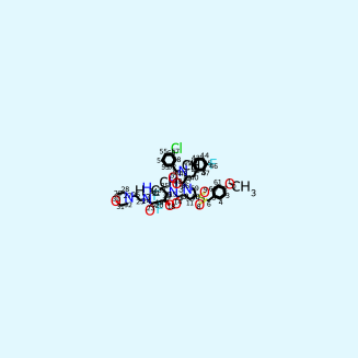 COc1ccc(CS(=O)(=O)[C@@H]2C[C@@H](C(=O)N[C@H](C(=O)C(F)(F)C(=O)NCCN3CCOCC3)C(C)C)N(C(=O)[C@H](Cc3cccc(F)c3)N(C)C(=O)c3cccc(Cl)c3)C2)cc1